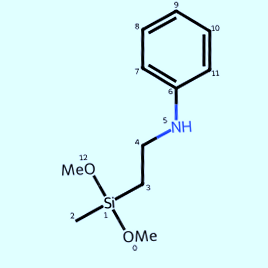 CO[Si](C)(CCNc1ccccc1)OC